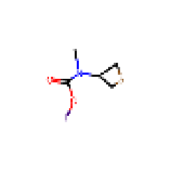 CN(C(=O)OI)C1CSC1